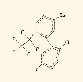 FC(F)(F)C(F)(F)c1c[c]c(Br)cc1-c1cc(I)ccc1Cl